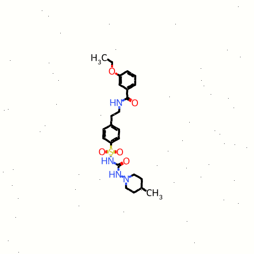 CCOc1cccc(C(=O)NCCc2ccc(S(=O)(=O)NC(=O)NN3CCC(C)CC3)cc2)c1